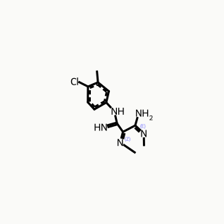 C/N=C(C(=N)Nc1ccc(Cl)c(C)c1)\C(N)=N/C